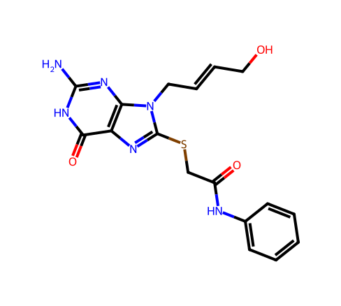 Nc1nc2c(nc(SCC(=O)Nc3ccccc3)n2CC=CCO)c(=O)[nH]1